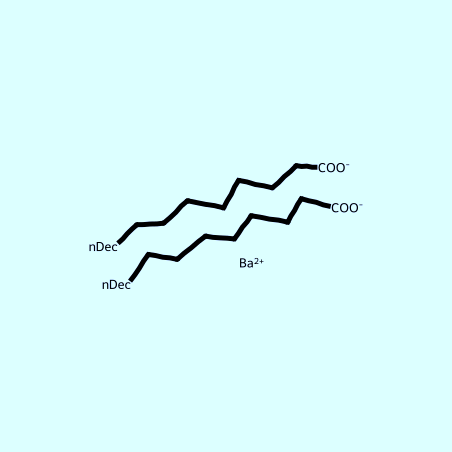 CCCCCCCCCCCCCCCCCC(=O)[O-].CCCCCCCCCCCCCCCCCC(=O)[O-].[Ba+2]